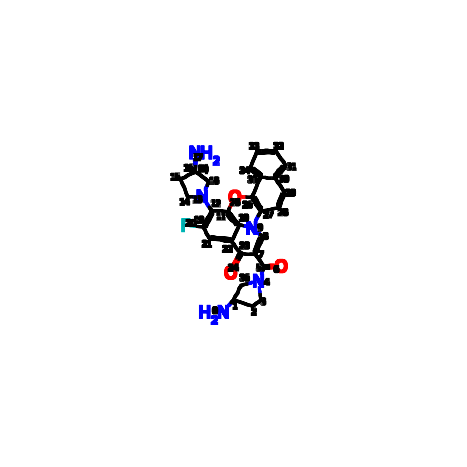 NC1CCN(C(=O)c2cn3c4c(c(N5CC[C@@H](N)C5)c(F)cc4c2=O)Oc2c-3ccc3ccccc23)C1